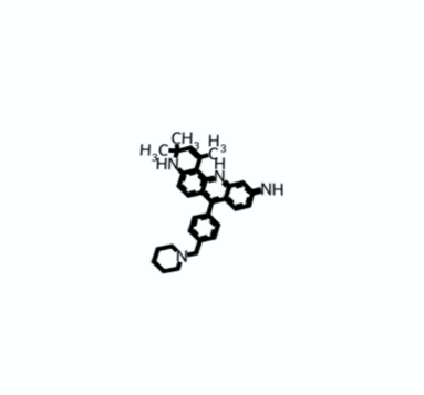 CC1=CC(C)(C)Nc2ccc3c(-c4ccc(CN5CCCCC5)cc4)c4ccc(=N)cc-4[nH]c3c21